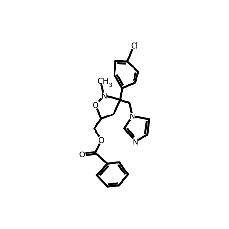 CN1OC(COC(=O)c2ccccc2)CC1(Cn1ccnc1)c1ccc(Cl)cc1